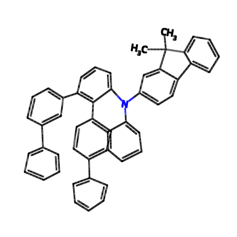 CC1(C)c2ccccc2-c2ccc(N(c3ccccc3)c3cccc(-c4cccc(-c5ccccc5)c4)c3-c3ccc(-c4ccccc4)cc3)cc21